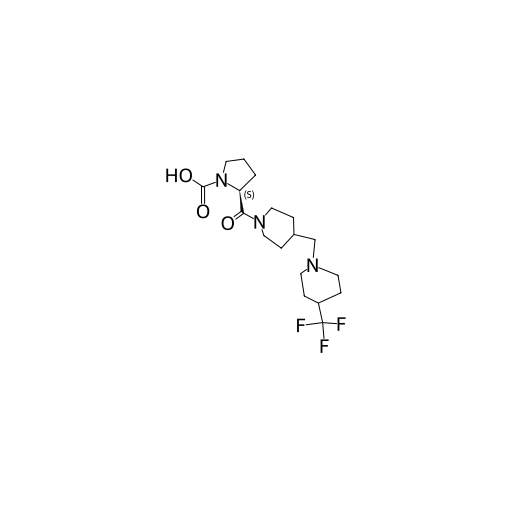 O=C([C@@H]1CCCN1C(=O)O)N1CCC(CN2CCC(C(F)(F)F)CC2)CC1